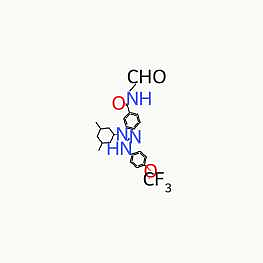 CC1CC(C)CC(n2c(Nc3ccc(OC(F)(F)F)cc3)nc3ccc(C(=O)NCCC=O)cc32)C1